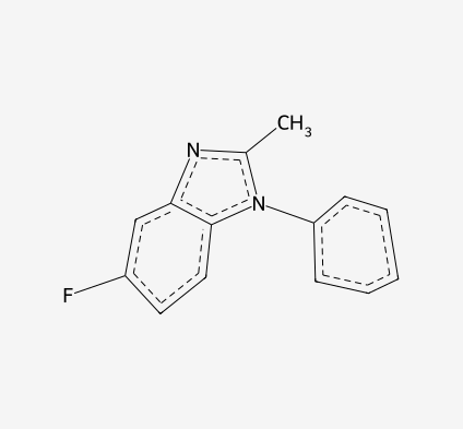 Cc1nc2cc(F)ccc2n1-c1ccccc1